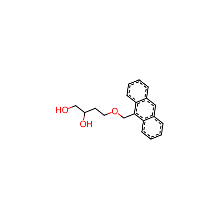 OCC(O)CCOCc1c2ccccc2cc2ccccc12